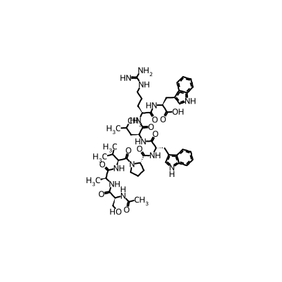 CC(=O)N[C@@H](CO)C(=O)N[C@@H](C)C(=O)N[C@H](C(=O)N1CCC[C@H]1C(=O)N[C@@H](Cc1c[nH]c2ccccc12)C(=O)N[C@@H](CC(C)C)C(=O)N[C@@H](CCCNC(=N)N)C(=O)N[C@@H](Cc1c[nH]c2ccccc12)C(=O)O)C(C)C